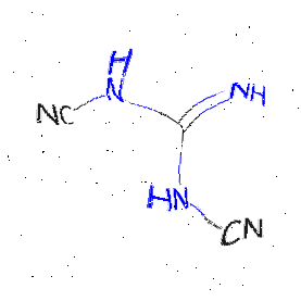 N#CNC(=N)NC#N